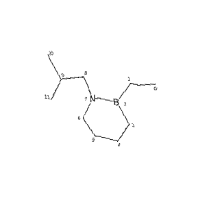 CCB1CCCCN1CC(C)C